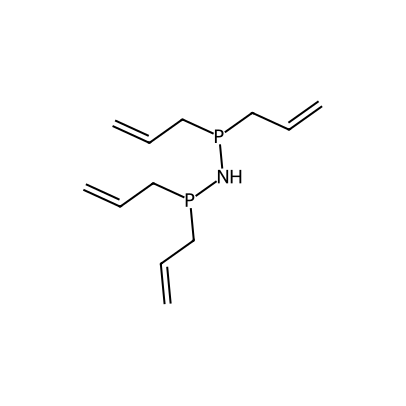 C=CCP(CC=C)NP(CC=C)CC=C